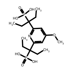 CCC(CC)(c1cc(OC)cc(C(CC)(CC)P(=O)(O)O)n1)P(=O)(O)O